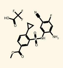 COC(=O)c1ccc(C2CC2)c(S(=O)(=O)Nc2cc(C#N)c(F)cc2N)c1.O=C(O)C(F)(F)F